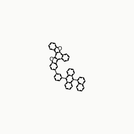 c1cc(-c2ccc3oc4c(c3c2)c2ccccc2c2oc3ccccc3c24)cc(-c2c3ccccc3c(-c3cccc4ccccc34)c3ccccc23)c1